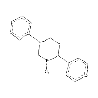 ClP1CC(c2ccccc2)CCC1c1ccccc1